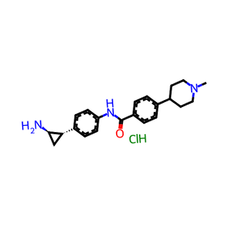 CN1CCC(c2ccc(C(=O)Nc3ccc([C@@H]4C[C@H]4N)cc3)cc2)CC1.Cl